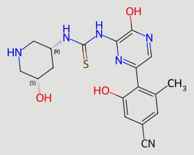 Cc1cc(C#N)cc(O)c1-c1cnc(O)c(NC(=S)N[C@H]2CNC[C@@H](O)C2)n1